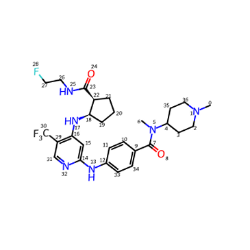 CN1CCC(N(C)C(=O)c2ccc(Nc3cc(N[C@@H]4CCC[C@@H]4C(=O)NCCF)c(C(F)(F)F)cn3)cc2)CC1